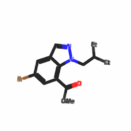 CCC(CC)Cn1ncc2cc(Br)cc(C(=O)OC)c21